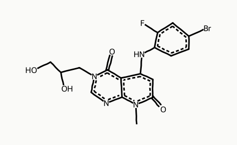 Cn1c(=O)cc(Nc2ccc(Br)cc2F)c2c(=O)n(CC(O)CO)cnc21